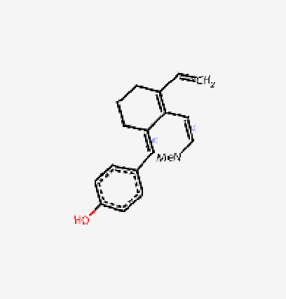 C=CC1=C(/C=C\NC)/C(=C/c2ccc(O)cc2)CCC1